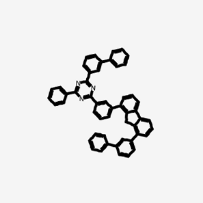 c1ccc(-c2cccc(-c3nc(-c4ccccc4)nc(-c4cccc(-c5cccc6c5Cc5c(-c7cccc(-c8ccccc8)c7)cccc5-6)c4)n3)c2)cc1